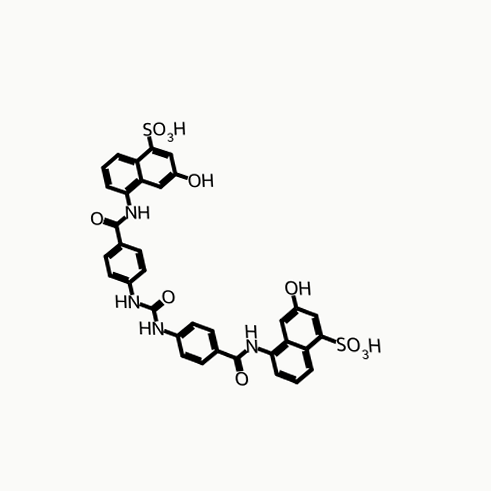 O=C(Nc1ccc(C(=O)Nc2cccc3c(S(=O)(=O)O)cc(O)cc23)cc1)Nc1ccc(C(=O)Nc2cccc3c(S(=O)(=O)O)cc(O)cc23)cc1